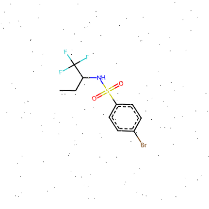 CCC(NS(=O)(=O)c1ccc(Br)cc1)C(F)(F)F